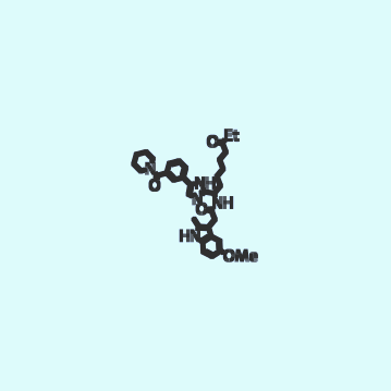 CCC(=O)CCCCCC(NC(=O)Cc1c(C)[nH]c2ccc(OC)cc12)c1ncc(-c2cccc(C(=O)N3CCCCC3)c2)[nH]1